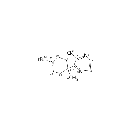 CC1(c2nccnc2Cl)CCN(C(C)(C)C)CC1